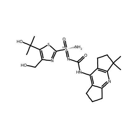 CC(C)(O)c1sc([S@@](N)(=O)=NC(=O)Nc2c3c(nc4c2CCC4(C)C)CCC3)nc1CO